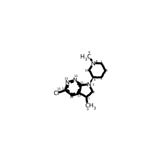 CC1CN([C@@H]2CCCN(C)C2)c2nnc(Cl)cc21